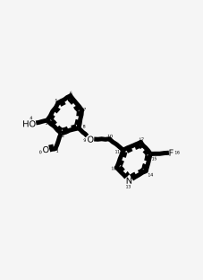 O=Cc1c(O)cccc1OCc1cncc(F)c1